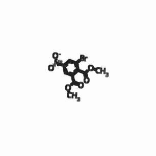 COC(=O)c1cc([N+](=O)[O-])cc(Br)c1C(=O)OC